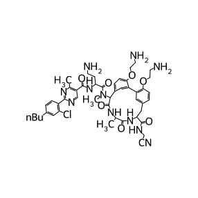 CCCCc1ccc(-c2ncc(C(=O)NC(CCN)C(=O)N(C)C3C(=O)NC(C)C(=O)NC(C(=O)NCC#N)Cc4ccc(OCCN)c(c4)-c4cc3ccc4OCCN)c(C)n2)c(Cl)c1